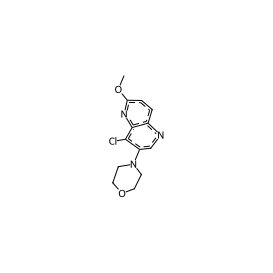 COc1ccc2ncc(N3CCOCC3)c(Cl)c2n1